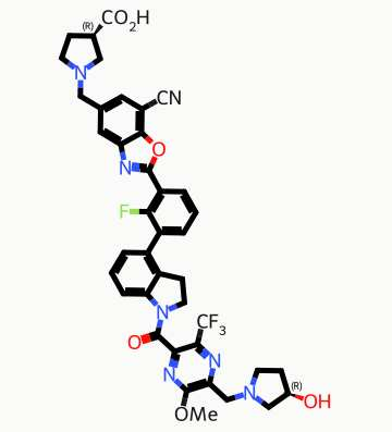 COc1nc(C(=O)N2CCc3c(-c4cccc(-c5nc6cc(CN7CC[C@@H](C(=O)O)C7)cc(C#N)c6o5)c4F)cccc32)c(C(F)(F)F)nc1CN1CC[C@@H](O)C1